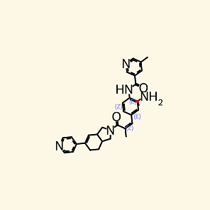 C\C=C(/C=C\C(\C=C(\C)C(=O)N1CC2C=C(c3ccncc3)CCC2C1)=C/CN)NC(=O)c1cncc(C)c1